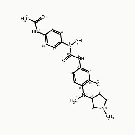 CC(=O)Nc1ccc(N(S)C(=O)Nc2ccc(N(C)C3CCN(C)C3)c(Cl)c2)cc1